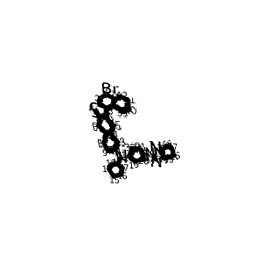 Brc1cc2sc3cc4ccc(N(c5ccccc5)c5ccc(-n6nc7ccccc7n6)cc5)cc4cc3c2c2ccccc12